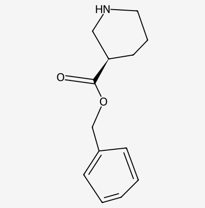 O=C(OCc1ccccc1)[C@@H]1CCCNC1